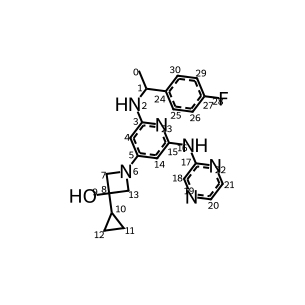 CC(Nc1cc(N2CC(O)(C3CC3)C2)cc(Nc2cnccn2)n1)c1ccc(F)cc1